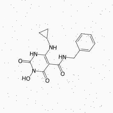 O=C(NCc1ccccc1)c1c(NC2CC2)[nH]c(=O)n(O)c1=O